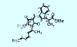 C=C/C=C\C=C(/C)N1C(=O)/C(=C\c2cn(C(C)C(=O)OC)c3ccccc23)C(=O)N1C